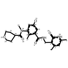 Cc1cc(C)c(CNC(=O)c2cc(Cl)cc(N(C)C(=O)C3CCOCC3)c2C)c(=O)[nH]1